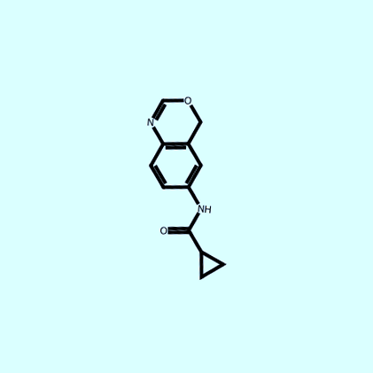 O=C(Nc1ccc2c(c1)COC=N2)C1CC1